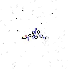 CN(C)C1CCN(Cc2cccc(Nc3nccc(-c4c(-c5cccc(NC(=O)Cc6cccs6)c5)nc5ccccn45)n3)c2)CC1